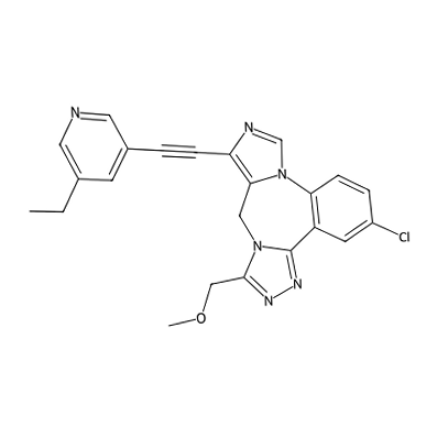 CCc1cncc(C#Cc2ncn3c2Cn2c(COC)nnc2-c2cc(Cl)ccc2-3)c1